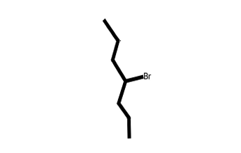 C[CH]CC(Br)CCC